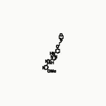 COc1cncc(-c2ncc(-c3ccnc(Nc4cccc(OCCCN5CCOCC5)c4)n3)[nH]2)c1